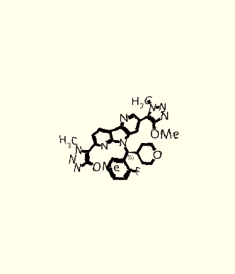 COc1nnn(C)c1-c1cnc2c3ccc(-c4c(OC)nnn4C)nc3n([C@H](c3ccccc3F)C3CCOCC3)c2c1